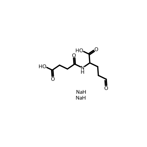 O=CCCC(NC(=O)CCC(=O)O)C(=O)O.[NaH].[NaH]